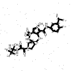 Cn1cc2c(c1C(=O)Nc1ccc(F)c(C(F)F)c1)OC[C@]1(CCN(C(=O)C(=O)NC(C)(O)C(F)(F)F)C1)NS2(=O)=O